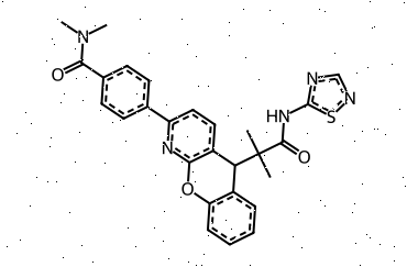 CN(C)C(=O)c1ccc(-c2ccc3c(n2)Oc2ccccc2C3C(C)(C)C(=O)Nc2ncns2)cc1